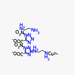 NCCN.NCCN.O=C([O-])c1nnnn1[N+](=O)[O-].O=C([O-])c1nnnn1[N+](=O)[O-].[Cu+2]